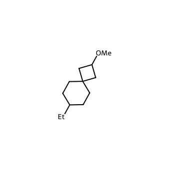 CCC1CCC2(CC1)CC(OC)C2